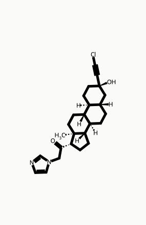 C[C@]12CC[C@H]3[C@@H](CC[C@H]4C[C@@](O)(C#CCl)CC[C@@H]43)[C@@H]1CC[C@@H]2C(=O)Cn1ccnc1